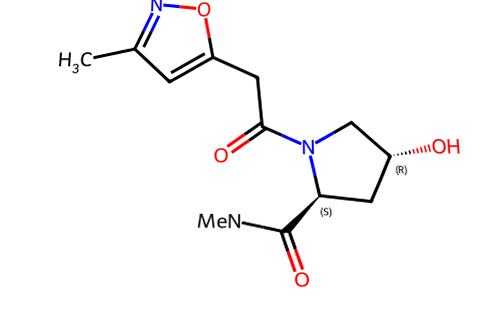 CNC(=O)[C@@H]1C[C@@H](O)CN1C(=O)Cc1cc(C)no1